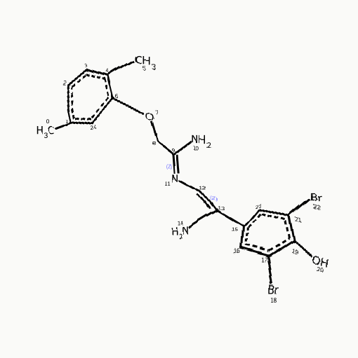 Cc1ccc(C)c(OC/C(N)=N/C=C(\N)c2cc(Br)c(O)c(Br)c2)c1